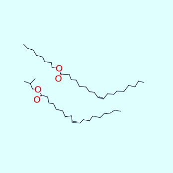 CCCCCCCC/C=C\CCCCCCCC(=O)OCC(C)C.CCCCCCCC/C=C\CCCCCCCC(=O)OCCCCCCCC